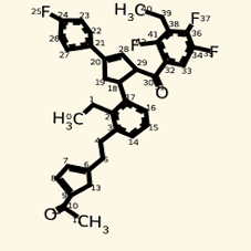 CCc1c(CCC2=CC=C(C(C)=O)C2)cccc1C1CC(c2ccc(F)cc2)=CC1C(=O)c1cc(F)c(F)c(CC)c1F